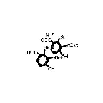 CCCCCCCCc1c(O)ccc(C(=O)[O-])c1C(C)(C)C.CCCCCCCCc1c(O)ccc(C(=O)[O-])c1C(C)(C)C.[Ni+2]